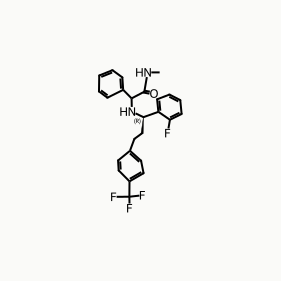 CNC(=O)C(N[C@H](CCc1ccc(C(F)(F)F)cc1)c1ccccc1F)c1ccccc1